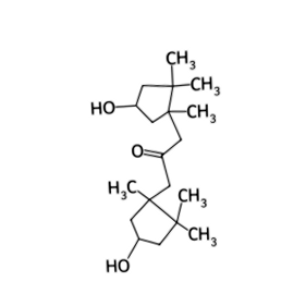 CC1(C)CC(O)CC1(C)CC(=O)CC1(C)CC(O)CC1(C)C